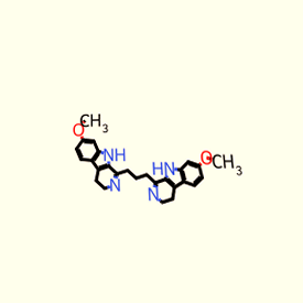 COc1ccc2c3c([nH]c2c1)C(CCCC1=NCCc2c1[nH]c1cc(OC)ccc21)=NCC3